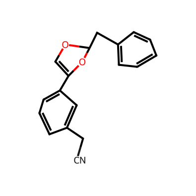 N#CCc1cccc(C2=COC(Cc3ccccc3)O2)c1